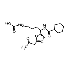 NC(=O)Cc1nnc(C(CCCCNC(=O)O)NC(=O)C2CCCCC2)o1